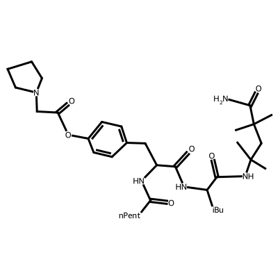 CCCCCC(=O)NC(Cc1ccc(OC(=O)CN2CCCC2)cc1)C(=O)NC(C(=O)NC(C)(C)CC(C)(C)C(N)=O)C(C)CC